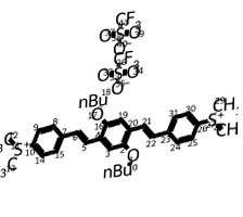 CCCCOc1cc(/C=C/c2ccc([S+](C)C)cc2)c(OCCCC)cc1/C=C/c1ccc([S+](C)C)cc1.O=S(=O)([O-])C(F)(F)F.O=S(=O)([O-])C(F)(F)F